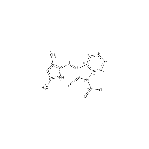 Cc1cc(C)c(/C=C2\C(=O)N(C(=O)Cl)c3ccccc32)[nH]1